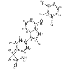 Cc1nc(-c2c(C)nc3c(OCc4c(F)cccc4F)cccn23)nc2c1C(C)(C)C(=O)N2